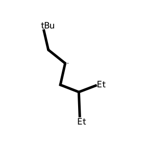 CCC(CC)C[CH]CC(C)(C)C